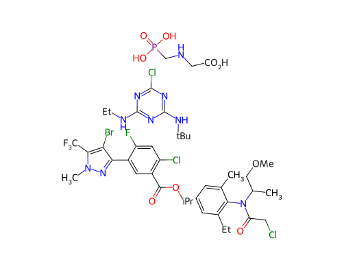 CC(C)OC(=O)c1cc(-c2nn(C)c(C(F)(F)F)c2Br)c(F)cc1Cl.CCNc1nc(Cl)nc(NC(C)(C)C)n1.CCc1cccc(C)c1N(C(=O)CCl)C(C)COC.O=C(O)CNCP(=O)(O)O